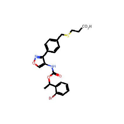 CC(OC(=O)Nc1conc1-c1ccc(CSCCC(=O)O)cc1)c1ccccc1Br